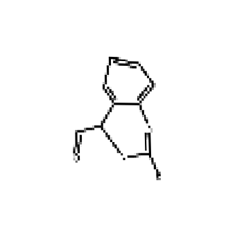 O=CC1NC(Br)=Nc2ccccc21